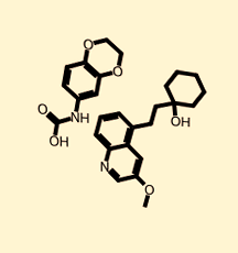 COc1cnc2cccc(CCC3(O)CCCCC3)c2c1.O=C(O)Nc1ccc2c(c1)OCCO2